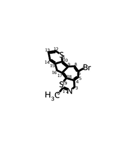 CC1=NCC2=CC(Br)=CC3=C4SC=CC=C4CC3=C2S1